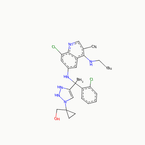 BC(Nc1cc(Cl)c2ncc(C#N)c(NCC(C)(C)C)c2c1)(C1=CN(C2(CO)CC2)NN1)c1ccccc1Cl